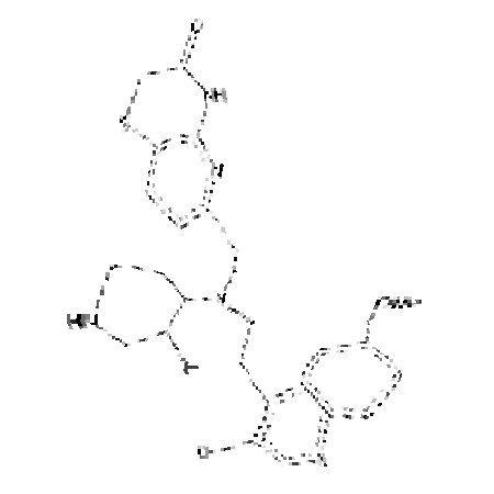 COc1ccc2ncc(Cl)c(CCN(Cc3ccc4c(n3)NC(=O)CS4)C3CCNCC3F)c2c1